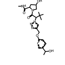 CNC(=O)C1CC(O)CN1C(=O)C(n1cc(COc2ccc(C(C)O)cc2)nn1)C(C)(C)C